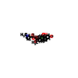 CC1C[C@H]2[C@@H]3CCC4=CC(=O)C=C[C@]4(C)[C@@]3(F)C(O)C[C@]2(C)[C@@]1(O)C(=O)COC(=O)C1=CN(C)C=CC1